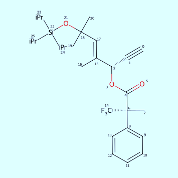 C#C[C@H](OC(=O)[C@@](C)(c1ccccc1)C(F)(F)F)/C(C)=C/C(C)(C)O[Si](C(C)C)(C(C)C)C(C)C